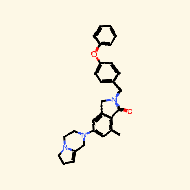 Cc1cc(N2CCN3CCC=C3C2)cc2c1C(=O)N(Cc1ccc(Oc3ccccc3)cc1)C2